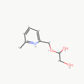 Cc1cccc(COC(O)CO)n1